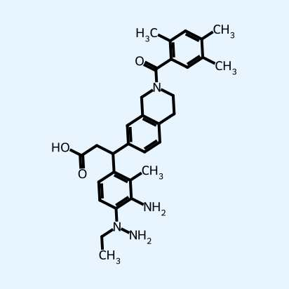 CCN(N)c1ccc(C(CC(=O)O)c2ccc3c(c2)CN(C(=O)c2cc(C)c(C)cc2C)CC3)c(C)c1N